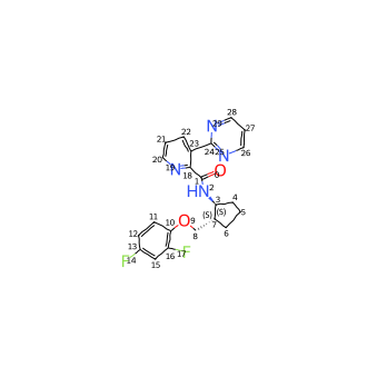 O=C(N[C@H]1CCC[C@@H]1COc1ccc(F)cc1F)c1ncccc1-c1ncccn1